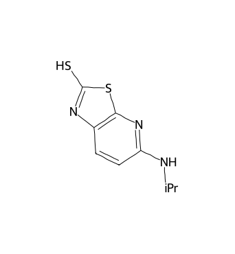 CC(C)Nc1ccc2nc(S)sc2n1